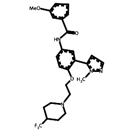 COc1cccc(C(=O)Nc2ccc(OCCN3CCC(C(F)(F)F)CC3)c(-c3ccnn3C)c2)c1